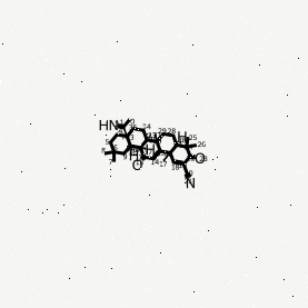 CC(=N)[C@]12CCC(C)(C)C[C@H]1[C@H]1C(=O)C=C3[C@@]4(C)C=C(C#N)C(=O)C(C)(C)[C@@H]4CC[C@@]3(C)[C@]1(C)CC2